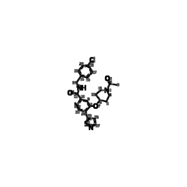 CC(=O)N1CCC(Oc2cc(C(=O)NCc3ccc(Cl)cc3)ncc2-c2ccns2)CC1